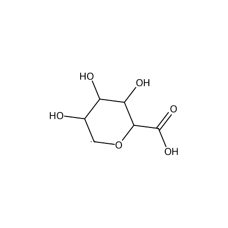 O=C(O)C1O[CH]C(O)C(O)C1O